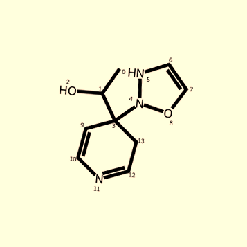 CC(O)C1(N2NC=CO2)C=CN=CC1